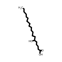 CCCCCCCCCCCCCCC(O)CCCCC(=O)O